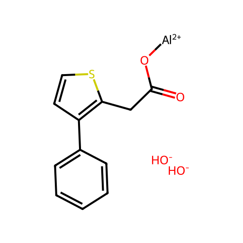 O=C(Cc1sccc1-c1ccccc1)[O][Al+2].[OH-].[OH-]